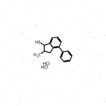 CC1Cc2c(-c3ccccc3)cccc2[CH]1[Hf].Cl.Cl